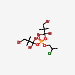 CC(Cl)COP(=O)(OC(Br)(Br)C(C)(C)CBr)OC(Br)(Br)C(C)(C)CBr